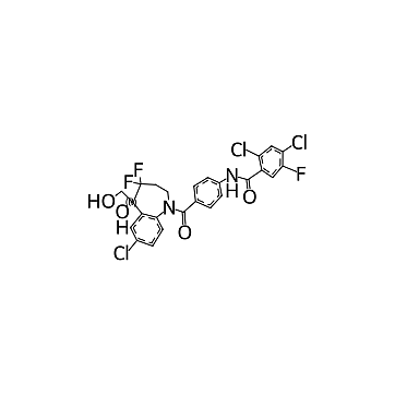 O=C(Nc1ccc(C(=O)N2CCC(F)(F)[C@](O)(CO)c3cc(Cl)ccc32)cc1)c1cc(F)c(Cl)cc1Cl